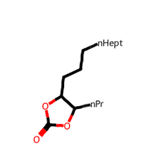 CCCCCCCCCCC1OC(=O)OC1CCC